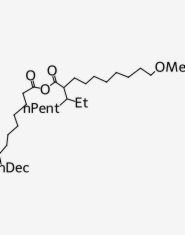 CCCCCCCCCCCCCCCCCC(=O)OC(=O)C(CCCCCCCCOC)C(CC)CCCCC